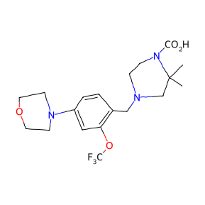 CC1(C)CN(Cc2ccc(N3CCOCC3)cc2OC(F)(F)F)CCN1C(=O)O